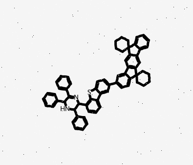 c1ccc(C2=NC(c3cccc4c3sc3ccc(-c5ccc6c(c5)-c5cc7c(cc5C65CCCCC5)-c5ccccc5C75CCCCC5)cc34)C(c3ccccc3)NC2c2ccccc2)cc1